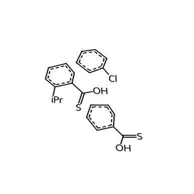 CC(C)c1ccccc1C(O)=S.Clc1ccccc1.OC(=S)c1ccccc1